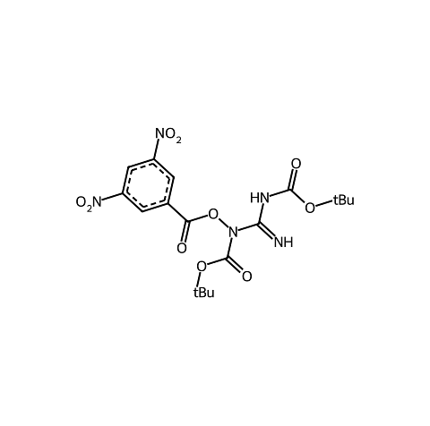 CC(C)(C)OC(=O)NC(=N)N(OC(=O)c1cc([N+](=O)[O-])cc([N+](=O)[O-])c1)C(=O)OC(C)(C)C